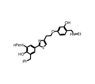 CCCCCc1cc(-c2nc(CCOc3ccc(CNCC)c(O)c3)cs2)cc(CC(C)C)c1O